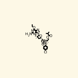 CCOc1nc(N)nc2c1ncn2[C@@H]1O[C@H](COP(=O)(N[C@@H](C)COC(=O)C(C)C)Oc2ccc(Cl)cc2)C[C@@]1(C)F